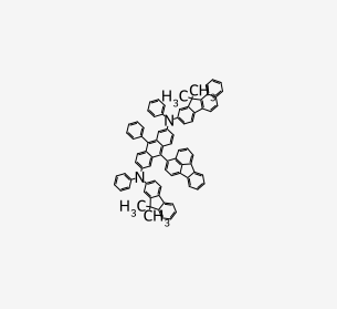 CC1(C)c2ccccc2-c2ccc(N(c3ccccc3)c3ccc4c(-c5ccccc5)c5cc(N(c6ccccc6)c6ccc7c(c6)C(C)(C)c6c-7ccc7ccccc67)ccc5c(-c5ccc6c7c(cccc57)-c5ccccc5-6)c4c3)cc21